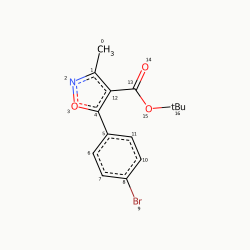 Cc1noc(-c2ccc(Br)cc2)c1C(=O)OC(C)(C)C